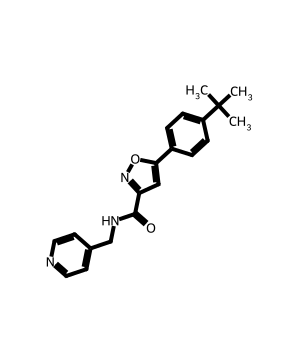 CC(C)(C)c1ccc(-c2cc(C(=O)NCc3ccncc3)no2)cc1